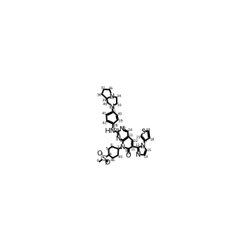 CS(=O)(=O)C1CCC(n2c(=O)c(-c3nccn3-c3ccsc3)cc3cnc(Nc4ccc(N5CCN6CCCC6C5)cc4)nc32)CC1